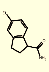 CCc1ccc2c(c1)CCC2C(N)=O